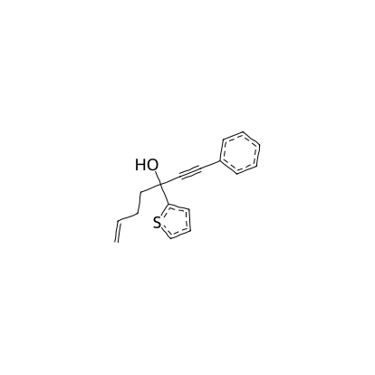 C=CCCC(O)(C#Cc1ccccc1)c1cccs1